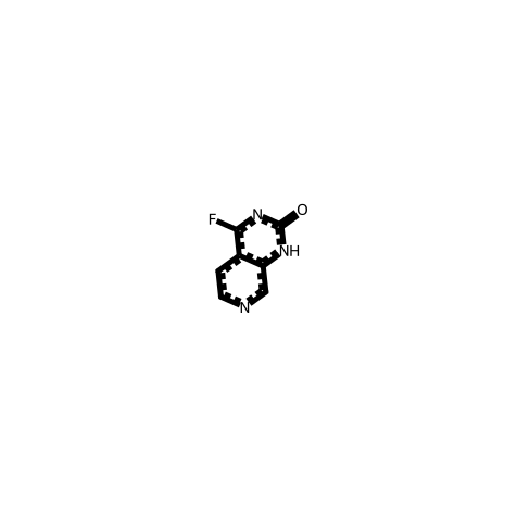 O=c1nc(F)c2ccncc2[nH]1